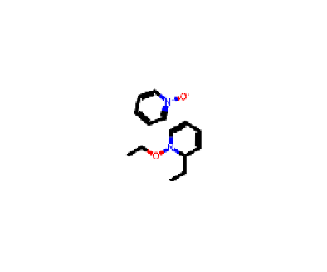 CCON1C=CC=CC1CC.[O-][n+]1ccccc1